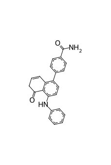 NC(=O)c1ccc(-c2ccc(Nc3ccccc3)c3c2C=CCC3=O)cc1